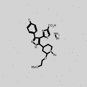 CC(C)N.COCCOC1CC(c2[nH]nc(-c3ccc(F)cc3)c2-c2nc(C(=O)O)cs2)CCN1C(C)=O